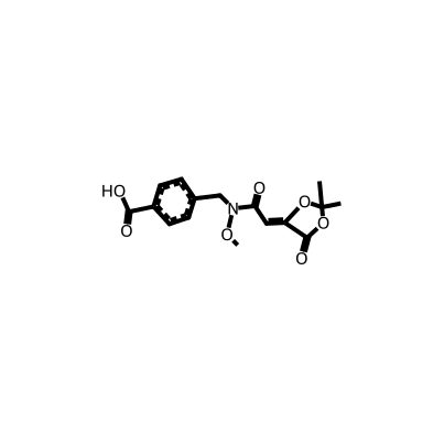 CON(Cc1ccc(C(=O)O)cc1)C(=O)C=C1OC(C)(C)OC1=O